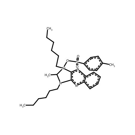 CCCCCCN1c2nc3ccccc3nc2[N+](CCCCCC)(OS(=O)(=O)c2ccc(C)cc2)C1C